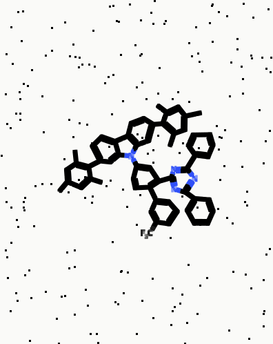 Cc1cc(C)c(-c2ccc3c4ccc(-c5c(C)cc(C)cc5C)cc4n(-c4ccc(-c5cccc(C(F)(F)F)c5)c(-c5nc(-c6ccccc6)nc(-c6ccccc6)n5)c4)c3c2)c(C)c1